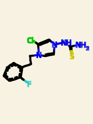 NC(=S)NN1C=CN(CCc2ccccc2F)C(Cl)=C1